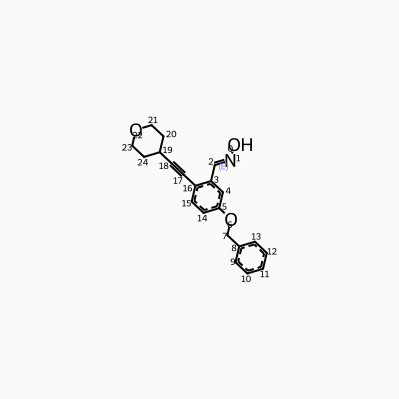 O/N=C/c1cc(OCc2ccccc2)ccc1C#CC1CCOCC1